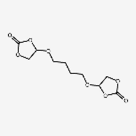 O=C1OCC(OCCCCOC2COC(=O)O2)O1